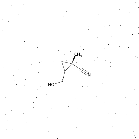 C[C@]1(C#N)CC1CO